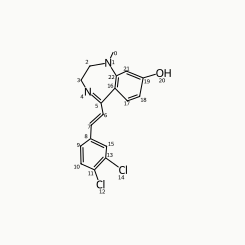 CN1CCN=C(/C=C/c2ccc(Cl)c(Cl)c2)c2ccc(O)cc21